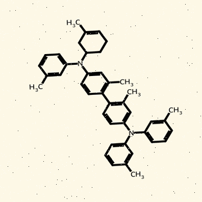 CC1=CCCC(N(c2cccc(C)c2)c2ccc(-c3ccc(N(c4cccc(C)c4)c4cccc(C)c4)cc3C)c(C)c2)C1